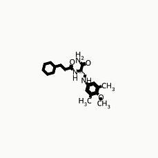 COc1c(C)cc(NC[C@H](NC(=O)[CH]CC2CCCCC2)C(N)=O)cc1C